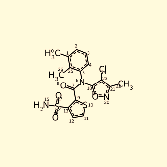 Cc1cccc(N(C(=O)c2sccc2S(N)(=O)=O)c2onc(C)c2Cl)c1C